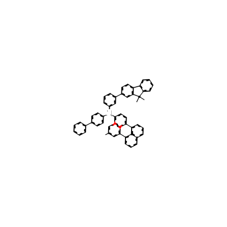 CC1(C)c2ccccc2-c2ccc(-c3cccc(N(c4ccc(-c5ccccc5)cc4)c4ccc(-c5cccc6cccc(-c7cccc(F)c7)c56)cc4)c3)cc21